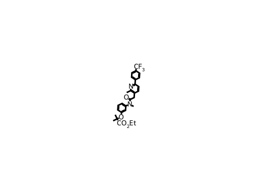 CCOC(=O)C(C)(C)Oc1cccc(N(C)C(=O)Cc2ccc(-c3ccc(C(F)(F)F)cc3)nc2C)c1